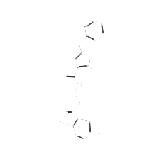 O=C(NCCc1c[nH]c2ccc(F)cc12)c1cc(Cc2ccccc2F)on1